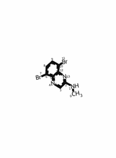 CNc1cnc2c(Br)ccc(Br)c2n1